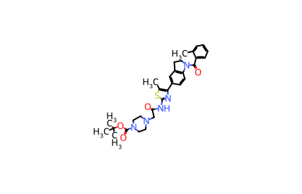 Cc1ccccc1C(=O)N1CCc2cc(-c3nc(NC(=O)CN4CCN(C(=O)OC(C)(C)C)CC4)sc3C)ccc21